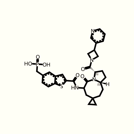 O=C(NC1CC2(CC[C@H]3CC[C@@H](C(=O)N4CC(c5cccnc5)C4)N3C1=O)CC2)c1cc2cc(CP(=O)(O)O)ccc2s1